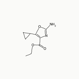 CCOC(=O)c1nc(N)oc1C1CC1